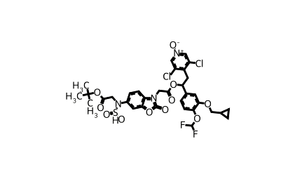 CC(C)(C)OC(=O)CN(c1ccc2c(c1)oc(=O)n2CC(=O)OC(Cc1c(Cl)c[n+]([O-])cc1Cl)c1ccc(OC(F)F)c(OCC2CC2)c1)[SH](=O)=O